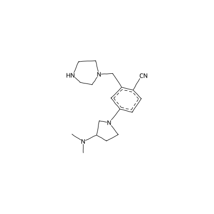 CN(C)C1CCN(c2ccc(C#N)c(CN3CCNCC3)c2)C1